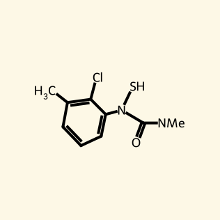 CNC(=O)N(S)c1cccc(C)c1Cl